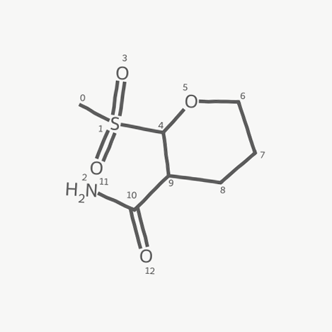 CS(=O)(=O)C1OCCCC1C(N)=O